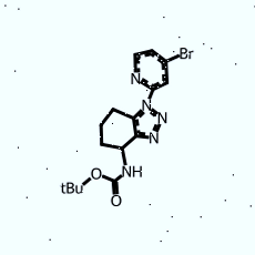 CC(C)(C)OC(=O)NC1CCCc2c1nnn2-c1cc(Br)ccn1